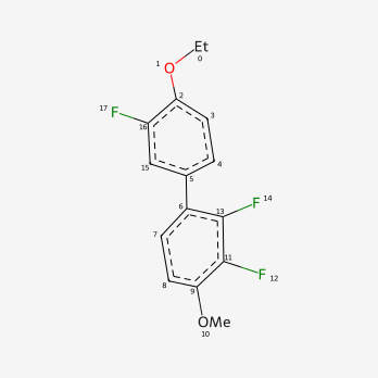 CCOc1ccc(-c2ccc(OC)c(F)c2F)cc1F